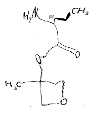 C[C@H](N)C(=O)OC1(C)COC1